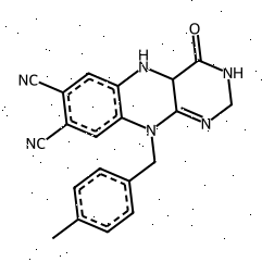 Cc1ccc(CN2C3=NCNC(=O)C3Nc3cc(C#N)c(C#N)cc32)cc1